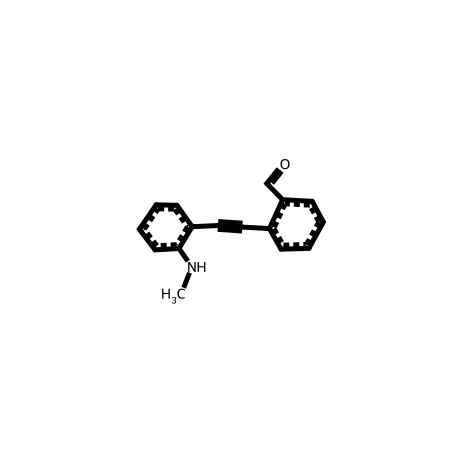 CNc1ccccc1C#Cc1ccccc1C=O